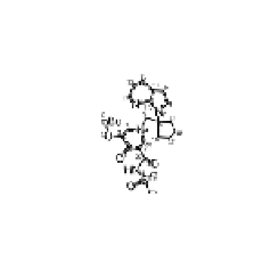 CCCCOc1cn(CC2(n3ccc4cccnc43)CCCC2)cc(C(=O)NS(C)(=O)=O)c1=O